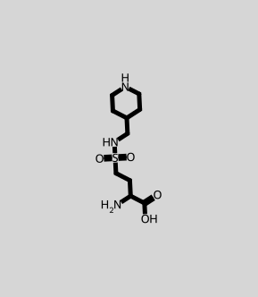 NC(CCS(=O)(=O)NCC1CCNCC1)C(=O)O